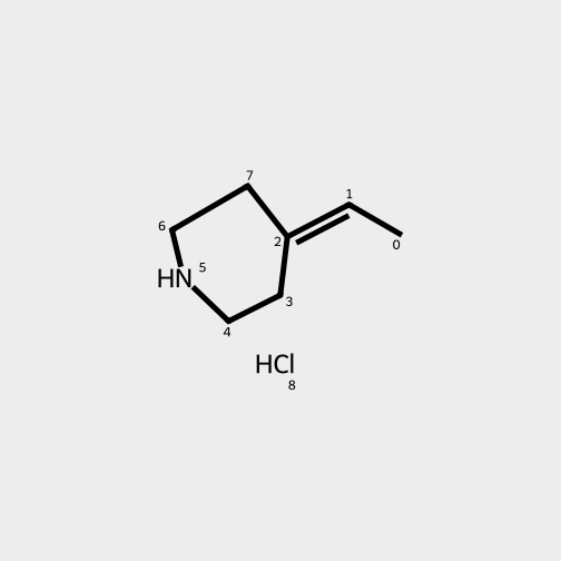 CC=C1CCNCC1.Cl